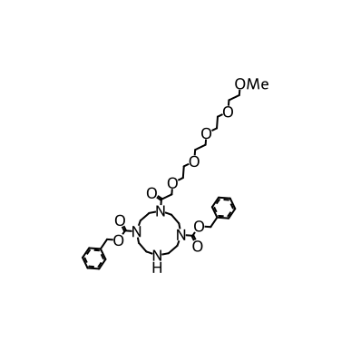 COCCOCCOCCOCCOCC(=O)N1CCN(C(=O)OCc2ccccc2)CCNCCN(C(=O)OCc2ccccc2)CC1